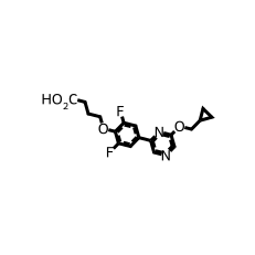 O=C(O)CCCOc1c(F)cc(-c2cncc(OCC3CC3)n2)cc1F